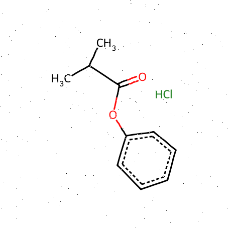 CC(C)C(=O)Oc1ccccc1.Cl